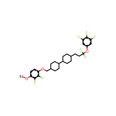 CCOc1ccc(OCC2CCC(C3CCC(CCC(F)(F)Oc4cc(F)c(F)c(F)c4)CC3)CC2)c(F)c1F